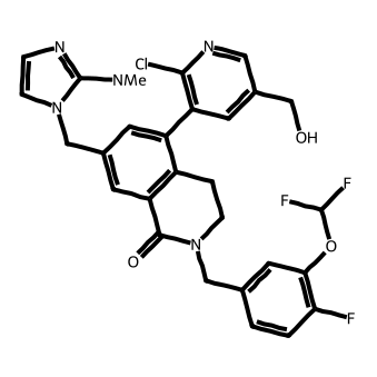 CNc1nccn1Cc1cc2c(c(-c3cc(CO)cnc3Cl)c1)CCN(Cc1ccc(F)c(OC(F)F)c1)C2=O